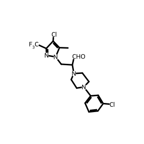 Cc1c(Cl)c(C(F)(F)F)nn1CC(C=O)N1CCN(c2cccc(Cl)c2)CC1